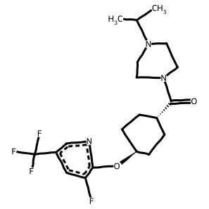 CC(C)N1CCN(C(=O)[C@H]2CC[C@H](Oc3ncc(C(F)(F)F)cc3F)CC2)CC1